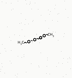 CCCC[C@H]1CC[C@H](CC[C@H]2CC[C@H](CCc3ccc([C@H]4CC[C@H](CCC)CC4)cc3)CC2)CC1